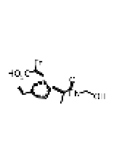 C=C(C)C(=O)NCO.C=C(CC)C(=O)O.C=Cc1ccccc1